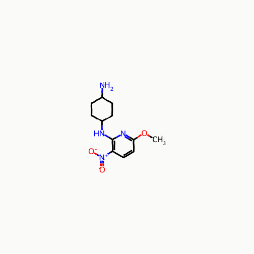 COc1ccc([N+](=O)[O-])c(NC2CCC(N)CC2)n1